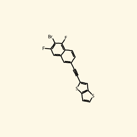 Fc1cc2cc(C#Cc3cc4sccc4s3)ccc2c(F)c1Br